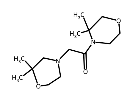 CC1(C)CN(CC(=O)N2CCOCC2(C)C)CCO1